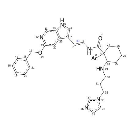 CC(=O)C1(C(=O)N/C=C/c2c[nH]c3cnc(OCc4ccccc4)cc23)CCCCC1NCCCn1ccnc1